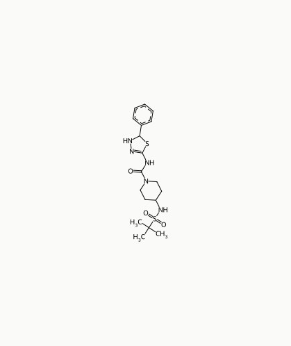 CC(C)(C)S(=O)(=O)NC1CCN(C(=O)NC2=NNC(c3ccccc3)S2)CC1